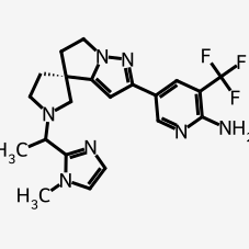 CC(c1nccn1C)N1CC[C@@]2(CCn3nc(-c4cnc(N)c(C(F)(F)F)c4)cc32)C1